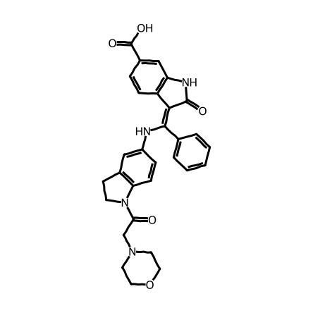 O=C1Nc2cc(C(=O)O)ccc2C1=C(Nc1ccc2c(c1)CCN2C(=O)CN1CCOCC1)c1ccccc1